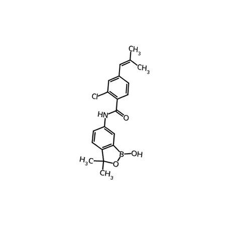 CC(C)=Cc1ccc(C(=O)Nc2ccc3c(c2)B(O)OC3(C)C)c(Cl)c1